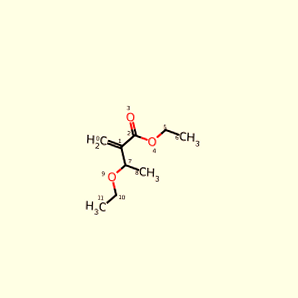 C=C(C(=O)OCC)C(C)OCC